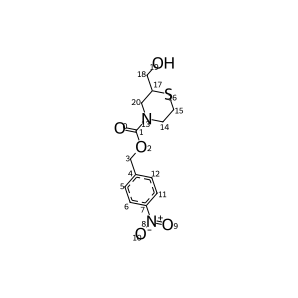 O=C(OCc1ccc([N+](=O)[O-])cc1)N1CCSC(CO)C1